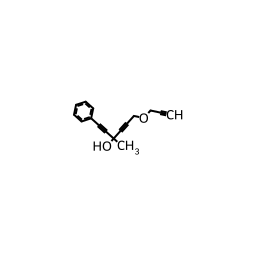 C#CCOCC#CC(C)(O)C#Cc1ccccc1